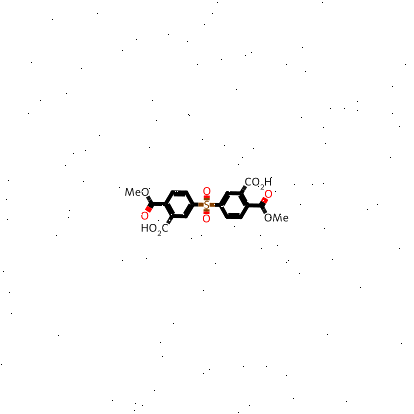 COC(=O)c1ccc(S(=O)(=O)c2ccc(C(=O)OC)c(C(=O)O)c2)cc1C(=O)O